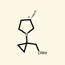 COCC1(N2CC[C@H](F)C2)CC1